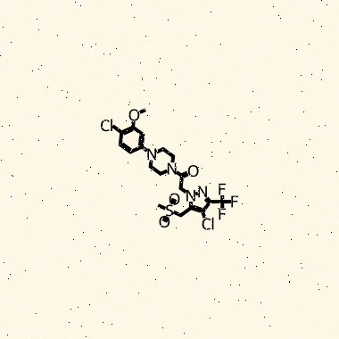 COc1cc(N2CCN(C(=O)Cn3nc(C(F)(F)F)c(Cl)c3CS(C)(=O)=O)CC2)ccc1Cl